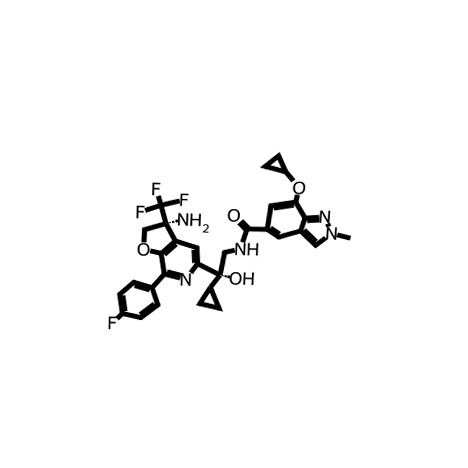 Cn1cc2cc(C(=O)NC[C@](O)(c3cc4c(c(-c5ccc(F)cc5)n3)OC[C@@]4(N)C(F)(F)F)C3CC3)cc(OC3CC3)c2n1